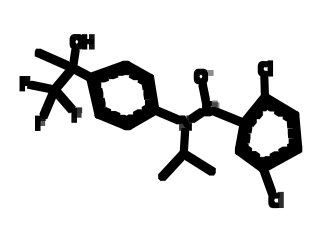 CC(C)N(c1ccc(C(C)(O)C(F)(F)F)cc1)[S+]([O-])c1cc(Cl)ccc1Cl